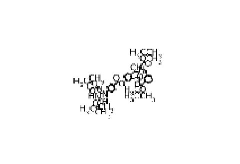 CC(C(=O)N(CC(=O)OC(C)(C)C)Cc1cccc(C(=O)OC(C)(C)C)c1)c1ccc(OC(=O)c2ccc(NC(=NC(=O)OC(C)(C)C)NC(=O)OC(C)(C)C)cc2)cc1Cl